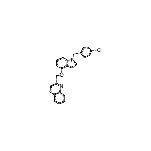 Clc1ccc(Cn2ccc3c(OCc4ccc5ccccc5n4)cccc32)cc1